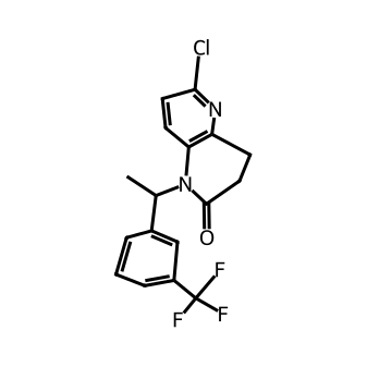 CC(c1cccc(C(F)(F)F)c1)N1C(=O)CCc2nc(Cl)ccc21